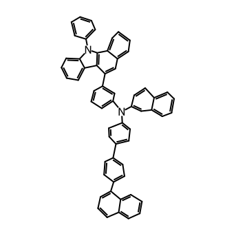 c1ccc(-n2c3ccccc3c3c(-c4cccc(N(c5ccc(-c6ccc(-c7cccc8ccccc78)cc6)cc5)c5ccc6ccccc6c5)c4)cc4ccccc4c32)cc1